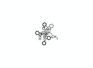 Cc1ccc(Oc2ccccc2)c(S(=O)(=O)NC(C)(Cc2c[nH]c3ccccc23)C(=O)NC(c2ccccn2)C2CCCCC2)c1